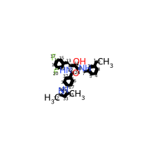 CCc1cccc(CNC[C@@H](O)[C@H](Cc2cc(F)cc(F)c2)NC(=O)c2ccc(-n3nc(C)cc3C)cc2)c1